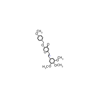 COc1ccc(COc2coc(/C=C/c3cc(OC)c(OC)c(OC)c3)cc2=O)cc1